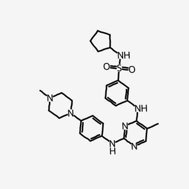 Cc1cnc(Nc2ccc(N3CCN(C)CC3)cc2)nc1Nc1cccc(S(=O)(=O)NC2CCCC2)c1